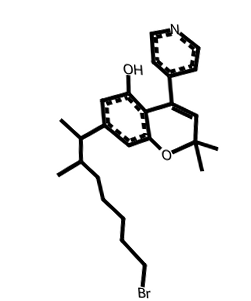 CC(CCCCCBr)C(C)c1cc(O)c2c(c1)OC(C)(C)C=C2c1ccncc1